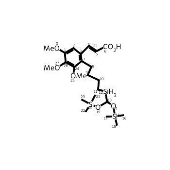 COc1cc(/C=C/C(=O)O)c(CCCC[SiH2]C(O[Si](C)(C)C)O[Si](C)(C)C)c(OC)c1OC